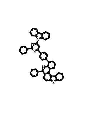 c1ccc(-c2nc(-c3ccc(-c4cccc5c4nc(-c4ccccc4)c4ccc6sc7ccccc7c6c45)cc3)cc(-n3c4ccccc4c4ccccc43)n2)cc1